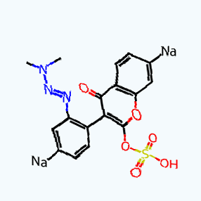 CN(C)N=Nc1c[c]([Na])ccc1-c1c(OS(=O)(=O)O)oc2c[c]([Na])ccc2c1=O